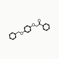 O=C(COc1ccc(OCc2ccccc2)cc1)c1ccccc1